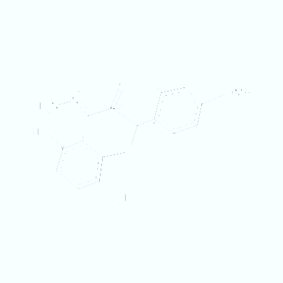 COc1ccc(C(Sc2cc(C)ccc2C)C(=O)C=NN)cc1